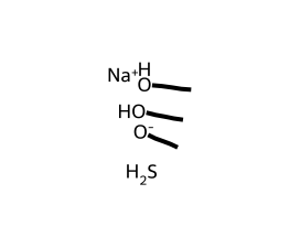 CO.CO.C[O-].S.[Na+]